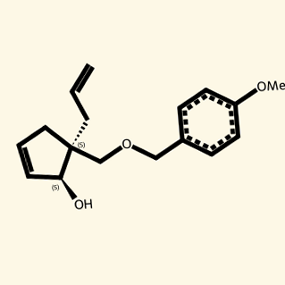 C=CC[C@@]1(COCc2ccc(OC)cc2)CC=C[C@@H]1O